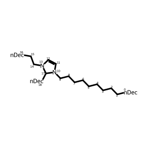 CCCCCCCCCCCCCCCCCCCN1C=CN(CCCCCCCCCCCC)C1CCCCCCCCCC